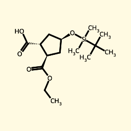 CCOC(=O)[C@@H]1C[C@H](O[Si](C)(C)C(C)(C)C)C[C@H]1C(=O)O